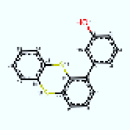 Oc1cccc(-c2cccc3c2Sc2ccccc2S3)c1